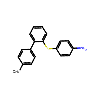 Nc1ccc(Sc2ccccc2-c2ccc(C=O)cc2)cc1